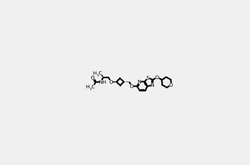 CC(=O)N[C@@H](C)CO[C@H]1C[C@H](COc2ccc3nc(OC4CCOCC4)sc3n2)C1